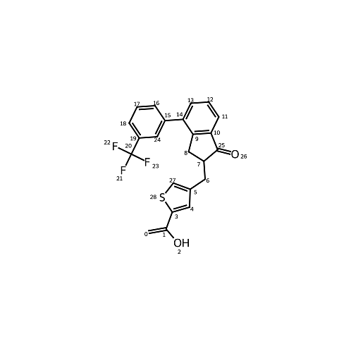 C=C(O)c1cc(CC2Cc3c(cccc3-c3cccc(C(F)(F)F)c3)C2=O)cs1